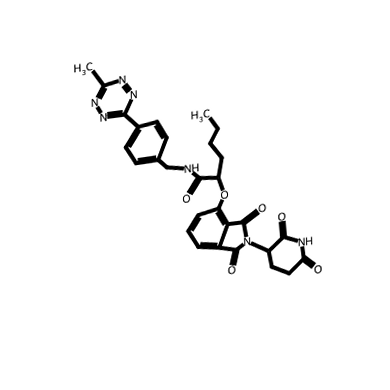 CCCCC(Oc1cccc2c1C(=O)N(C1CCC(=O)NC1=O)C2=O)C(=O)NCc1ccc(-c2nnc(C)nn2)cc1